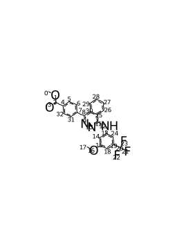 COC(=O)c1ccc(-c2nnc(Nc3cc(OC)cc(C(F)(F)F)c3)c3ccccc23)cc1